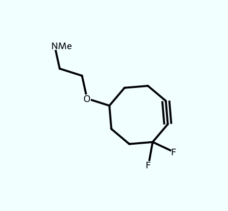 CNCCOC1CCC#CC(F)(F)CC1